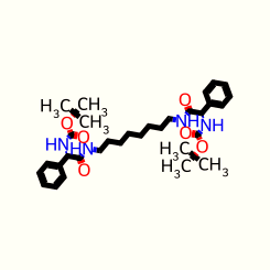 CC(C)(C)OC(=O)N[C@H](C(=O)NCCCCCCCCNC(=O)[C@@H](NC(=O)OC(C)(C)C)c1ccccc1)c1ccccc1